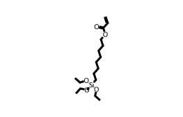 C=CC(=O)OCCCCCCCC[Si](OCC)(OCC)OCC